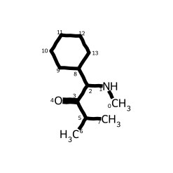 CNC(C(=O)C(C)C)C1CCCCC1